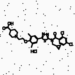 Cc1cc(-c2nnc(N(CC3CC3)C(=O)c3ccc(Cl)cc3Cl)s2)cc(C)c1OCCN1CCC(C(=O)O)CC1.Cl